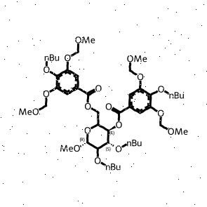 CCCCOc1c(OCOC)cc(C(=O)OCC2O[C@@H](OC)C(OCCCC)[C@@H](OCCCC)[C@@H]2OC(=O)c2cc(OCOC)c(OCCCC)c(OCOC)c2)cc1OCOC